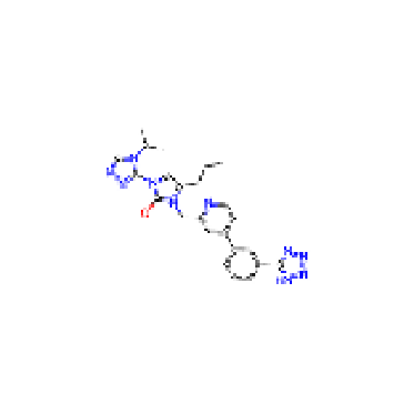 CCCc1cn(-c2nncn2C(C)C)c(=O)n1Cc1cc(-c2cccc(-c3nnn[nH]3)c2)ccn1